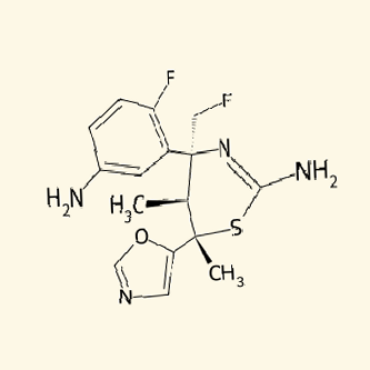 C[C@H]1[C@@](CF)(c2cc(N)ccc2F)N=C(N)S[C@]1(C)c1cnco1